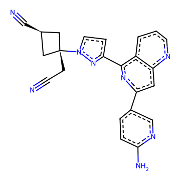 N#CC[C@]1(n2ccc(-c3nc(-c4ccc(N)nc4)cc4ncccc34)n2)C[C@H](C#N)C1